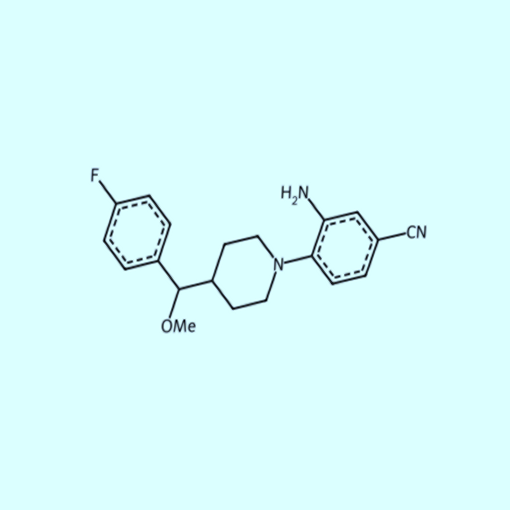 COC(c1ccc(F)cc1)C1CCN(c2ccc(C#N)cc2N)CC1